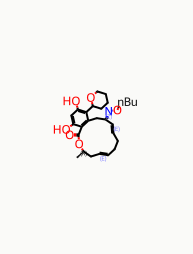 CCCCO/N=C1\C=C\CC/C=C/C[C@@H](C)OC(=O)c2c(O)cc(O)c(C3CCCCO3)c2C1